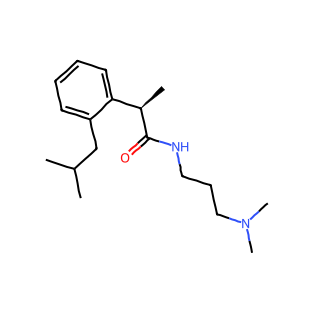 CC(C)Cc1ccccc1[C@@H](C)C(=O)NCCCN(C)C